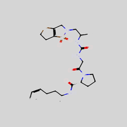 CCCCC/C=C\CC[C@H](NC(=O)[C@@H]1CCCN1C(=O)CNC(=O)NC(CN1CC2=C(CCS2)S1(=O)=O)C(C)(C)C)C(=O)O